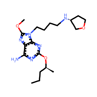 CCC[C@H](C)Oc1nc(N)c2nc(OC)n(CCCCN[C@@H]3CCOC3)c2n1